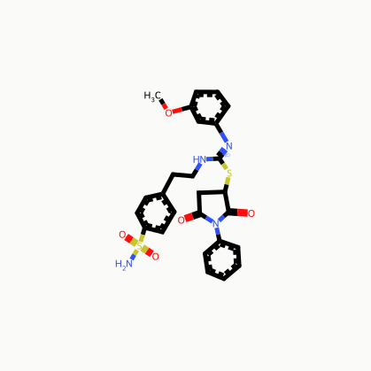 COc1cccc(/N=C(\NCCc2ccc(S(N)(=O)=O)cc2)SC2CC(=O)N(c3ccccc3)C2=O)c1